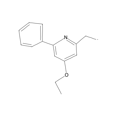 [CH2]Cc1cc(OCC)cc(-c2ccccc2)n1